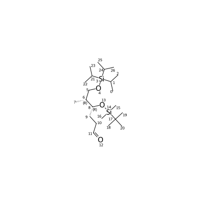 CC(C)[Si](OC[C@@H](C)[C@@H](CCC=O)O[Si](C)(C)C(C)(C)C)(C(C)C)C(C)C